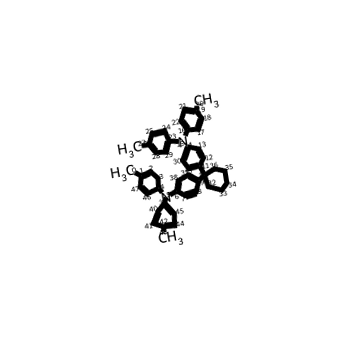 CC1=CCC(N(c2c#cc(C3(c4ccc(N(c5ccc(C)cc5)c5ccc(C)cc5)cc4)CCCCC3)cc2)c2ccc(C)cc2)C=C1